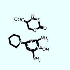 Nc1cc(N2CCCCC2)nc(N)[n+]1O.O=C1OCC(C(=O)[O-])NS1